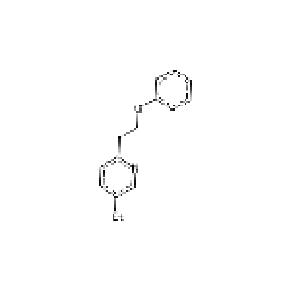 CCc1ccc(CCOc2ccccc2)nc1